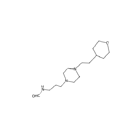 O=CNCCCN1CCN(CCC2CCOCC2)CC1